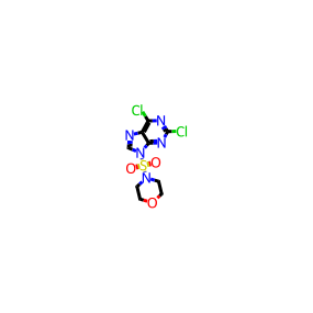 O=S(=O)(N1CCOCC1)n1cnc2c(Cl)nc(Cl)nc21